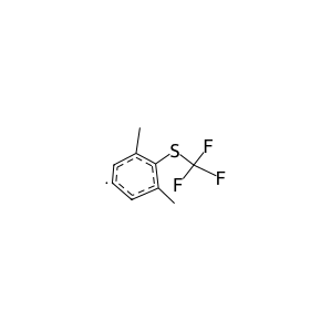 Cc1c[c]cc(C)c1SC(F)(F)F